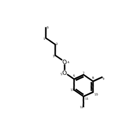 CCCCOOc1cc(C)cc(C)c1